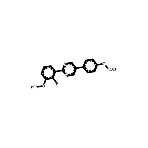 CCCCCCCCOc1ccc(-c2cnc(-c3cccc(OCCC)c3F)nc2)cc1